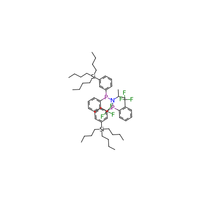 CCCC[Si](CCCC)(CCCC)c1cccc(P(c2ccccc2C(F)(F)F)N(C(C)C)P(c2cccc([Si](CCCC)(CCCC)CCCC)c2)c2ccccc2C(F)(F)F)c1